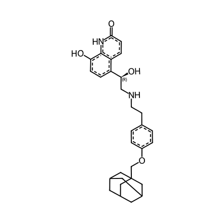 O=c1ccc2c([C@@H](O)CNCCc3ccc(OCC45CC6CC(CC(C6)C4)C5)cc3)ccc(O)c2[nH]1